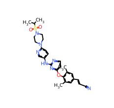 Cc1cc(/C=C/C#N)cc(C)c1Oc1ccnc(Nc2ccc(N3CCN(S(=O)(=O)C(C)C)CC3)nc2)n1